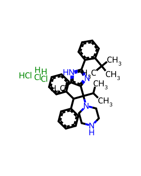 Cc1[nH]c(-c2ccccc2C(C)(C)C)nc1C(C(C)C)(C(c1ccccc1)c1ccccc1)N1CCNCC1.Cl.Cl.Cl